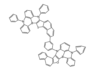 c1ccc(N2c3ccccc3B3c4sc5c(ccc6ccc(-c7cccc(N8c9cccc%10c9B(c9ccccc9N%10c9ccccc9)c9oc%10ccc%11ccccc%11c%10c98)c7)cc65)c4N(c4ccccc4)c4cccc2c43)cc1